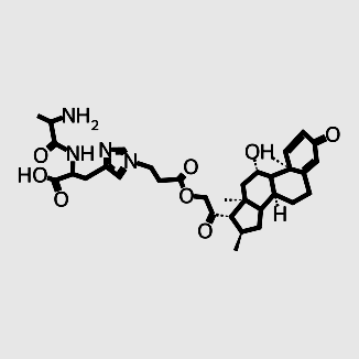 CC(N)C(=O)NC(Cc1cn(CCC(=O)OCC(=O)[C@H]2[C@H](C)CC3[C@@H]4CCC5=CC(=O)C=C[C@]5(C)C4[C@@H](O)C[C@@]32C)cn1)C(=O)O